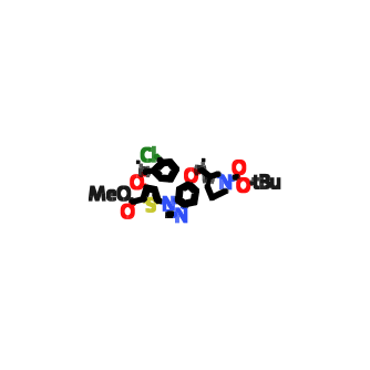 COC(=O)c1sc(-n2cnc3ccc(O[C@H](C)[C@@H]4CCCN(C(=O)OC(C)(C)C)C4)cc32)cc1O[C@H](C)c1ccccc1Cl